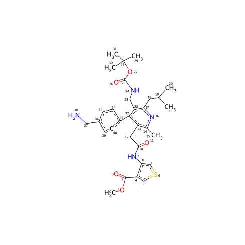 COC(=O)c1cscc1NC(=O)Cc1c(C)nc(CC(C)C)c(CNC(=O)OC(C)(C)C)c1-c1ccc(CN)cc1